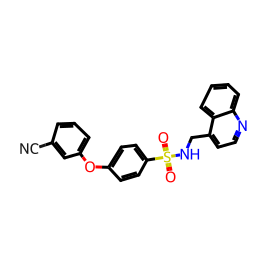 N#Cc1cccc(Oc2ccc(S(=O)(=O)NCc3ccnc4ccccc34)cc2)c1